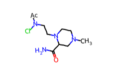 CC(=O)N(Cl)CCN1CCN(C)CC1C(N)=O